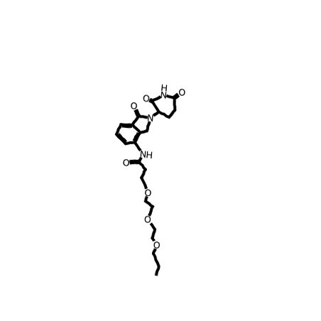 CCCOCCOCCOCCC(=O)Nc1cccc2c1CN(C1CCC(=O)NC1=O)C2=O